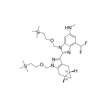 CNc1cc(C(F)F)c2nc(-c3nn(COCC[Si](C)(C)C)c4c3C[C@@H]3C[C@]3(C)C4)n(COCC[Si](C)(C)C)c2c1